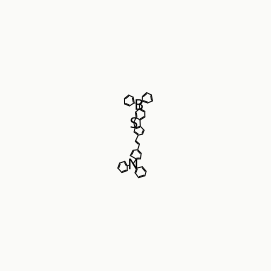 C(=C\c1ccc2c(c1)sc1cc(B(c3ccccc3)c3ccccc3)ccc12)/c1ccc(N(c2ccccc2)c2ccccc2)cc1